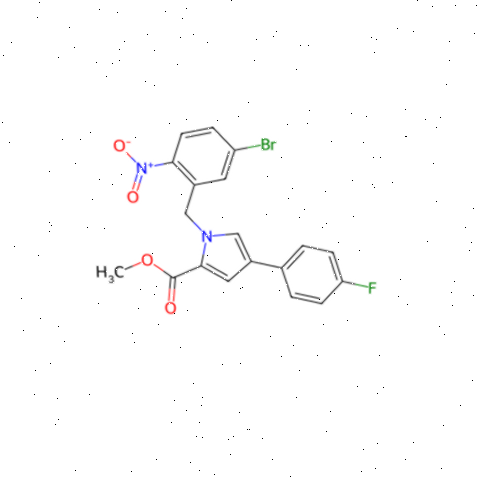 COC(=O)c1cc(-c2ccc(F)cc2)cn1Cc1cc(Br)ccc1[N+](=O)[O-]